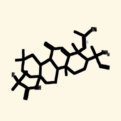 C=CC(C)(N)C1CCC2(C)C(=CC(=C)C3C4CC(C)(C)CCC4(NC(=C)C(C)(C)F)CCC32)C1(C)/C=C(\C)C#N